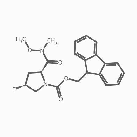 CON(C)C(=O)[C@@H]1C[C@H](F)CN1C(=O)OCC1c2ccccc2-c2ccccc21